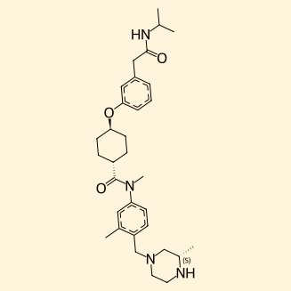 Cc1cc(N(C)C(=O)[C@H]2CC[C@H](Oc3cccc(CC(=O)NC(C)C)c3)CC2)ccc1CN1CCN[C@@H](C)C1